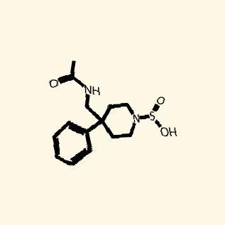 CC(=O)NCC1(c2ccccc2)CCN(S(=O)O)CC1